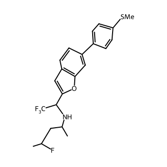 CSc1ccc(-c2ccc3cc(C(NC(C)CC(C)F)C(F)(F)F)oc3c2)cc1